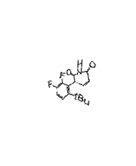 CC(C)(C)c1ccc(F)c(F)c1C1CCC(=O)NC1=O